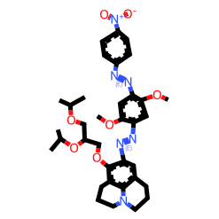 COc1cc(/N=N/c2cc3c4c(c2OCC(COC(C)C)OC(C)C)CCCN4CCC3)c(OC)cc1/N=N/c1ccc([N+](=O)[O-])cc1